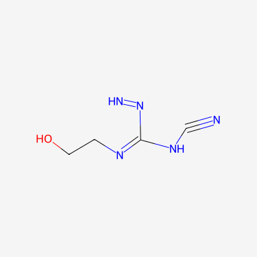 N#CNC(N=N)=NCCO